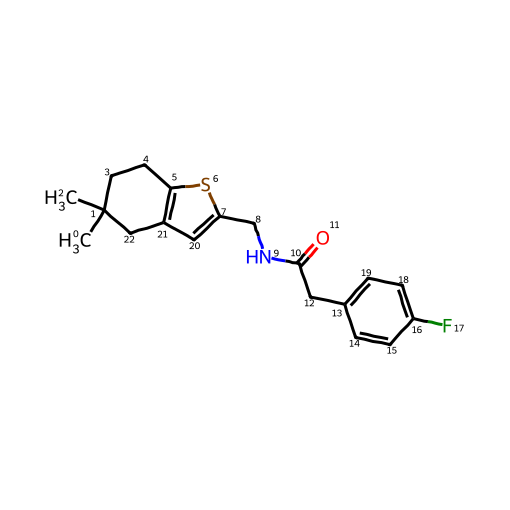 CC1(C)CCc2sc(CNC(=O)Cc3ccc(F)cc3)cc2C1